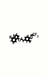 Fc1cc(CCOc2ccnc3c(F)cccc23)ccc1OCC(F)(F)F